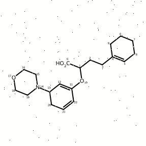 O=C(O)C(CCC1=CCCCC1)OC1=CC(N2CCOCC2)CC=C1